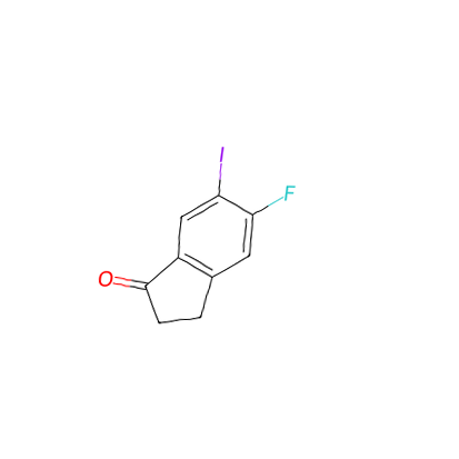 O=C1CCc2cc(F)c(I)cc21